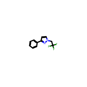 FC(F)(F)Cn1c[c]c(-c2ccccc2)n1